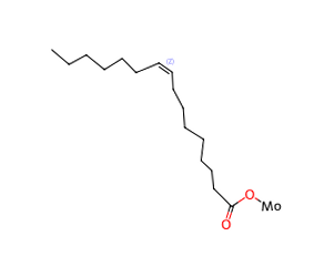 CCCCCC/C=C\CCCCCCCC(=O)[O][Mo]